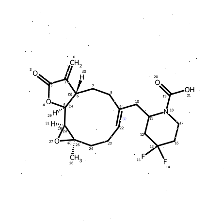 C=C1C(=O)O[C@H]2[C@H]1CC/C(CC1CC(F)(F)CCN1C(=O)O)=C\CC[C@@]1(C)O[C@@H]21